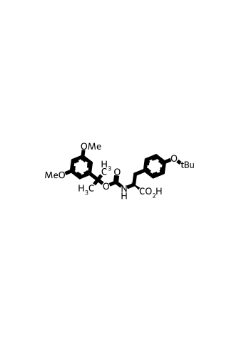 COc1cc(OC)cc(C(C)(C)OC(=O)N[C@@H](Cc2ccc(OC(C)(C)C)cc2)C(=O)O)c1